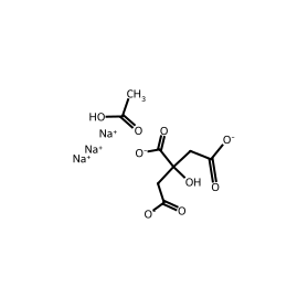 CC(=O)O.O=C([O-])CC(O)(CC(=O)[O-])C(=O)[O-].[Na+].[Na+].[Na+]